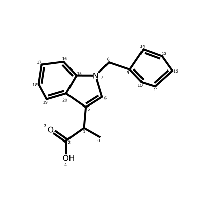 CC(C(=O)O)c1cn(Cc2ccccc2)c2ccccc12